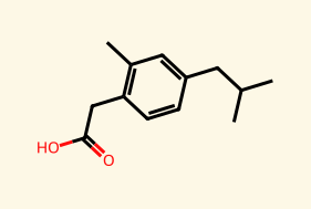 Cc1cc(CC(C)C)ccc1CC(=O)O